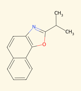 CC(C)c1nc2ccc3ccccc3c2o1